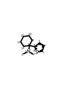 CN(C)C1(c2cccs2)CC[CH]CC1